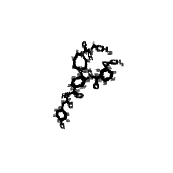 CCNC(=O)N1CCCN(c2ccc(C(=O)NC(Cl)Cc3ccc(Cl)cc3)cc2NC(=O)c2cccc(OC)c2)CC1